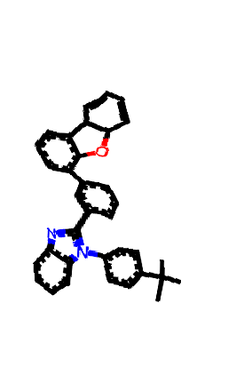 CC(C)(C)c1ccc(-n2c(-c3cccc(-c4cccc5c4OC4C=CC=CC54)c3)nc3ccccc32)cc1